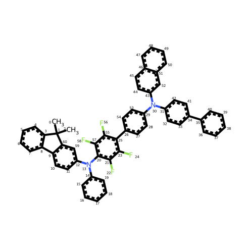 CC1(C)c2ccccc2-c2ccc(N(c3ccccc3)c3c(F)c(F)c(-c4ccc(N(c5ccc(-c6ccccc6)cc5)c5ccc6ccccc6c5)cc4)c(F)c3F)cc21